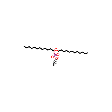 CCCCCCCCCCCCOCCCCCCCCCCCC.O=P([O-])([O-])[O-].[K+].[K+].[K+]